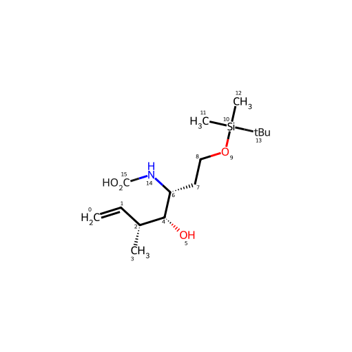 C=C[C@@H](C)[C@@H](O)[C@@H](CCO[Si](C)(C)C(C)(C)C)NC(=O)O